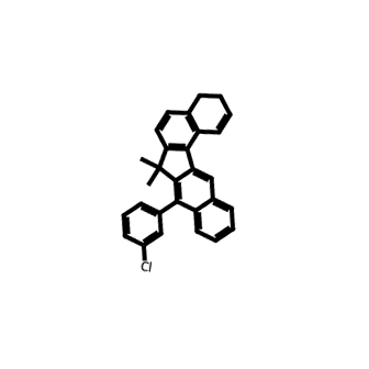 CC1(C)c2ccc3c(c2-c2cc4ccccc4c(-c4cccc(Cl)c4)c21)C=CCC3